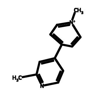 Cc1cc(-c2cc[n+](C)cc2)ccn1